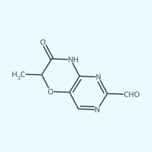 CC1Oc2cnc(C=O)nc2NC1=O